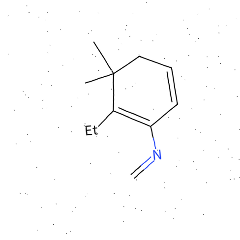 C=NC1=C(CC)C(C)(C)CC=C1